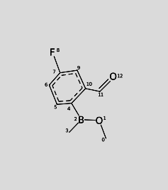 COB(C)c1ccc(F)cc1C=O